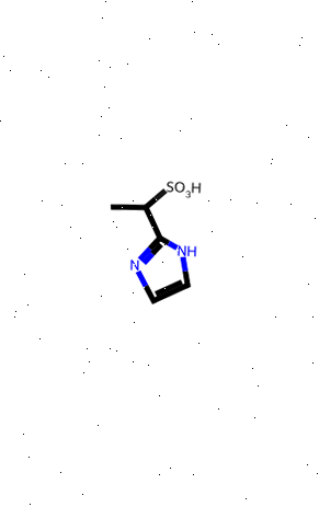 CC(c1ncc[nH]1)S(=O)(=O)O